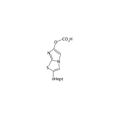 CCCCCCCc1cn2cc(OC(=O)O)nc2s1